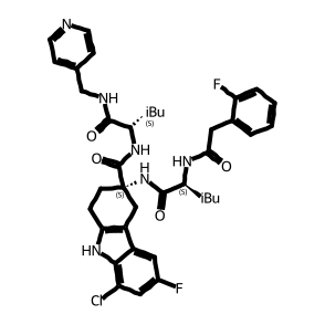 CCC(C)[C@H](NC(=O)Cc1ccccc1F)C(=O)N[C@@]1(C(=O)NC(C(=O)NCc2ccncc2)[C@@H](C)CC)CCc2[nH]c3c(Cl)cc(F)cc3c2C1